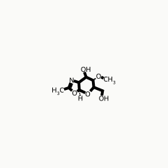 CO[C@@H]1C(CO)O[C@H]2OC(C)=NC2C1O